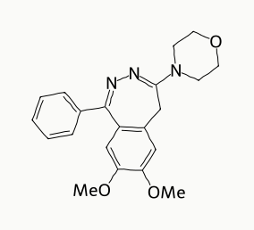 COc1cc2c(cc1OC)C(c1ccccc1)=NN=C(N1CCOCC1)C2